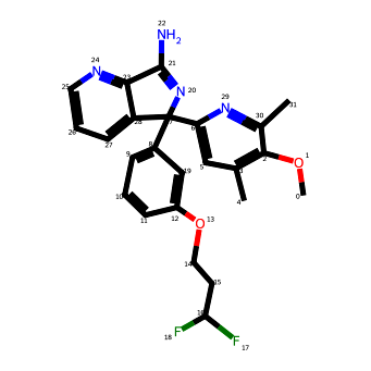 COc1c(C)cc(C2(c3cccc(OCCC(F)F)c3)N=C(N)c3ncccc32)nc1C